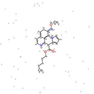 CCCCCOC(=O)C1c2nccc3c2=C(C(=NOC)CC=3)n2cccc21